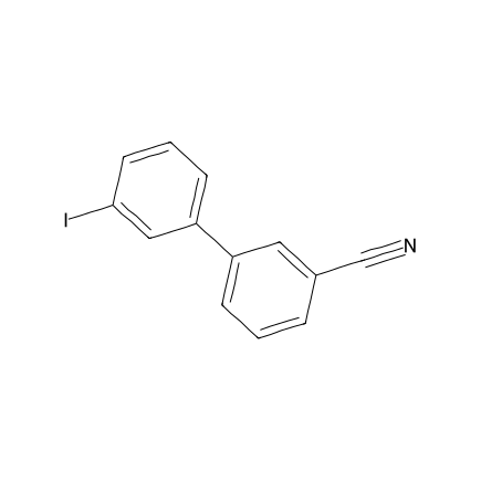 N#Cc1cccc(-c2cccc(I)c2)c1